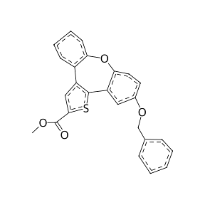 COC(=O)c1cc2c(s1)-c1cc(OCc3ccccc3)ccc1Oc1ccccc1-2